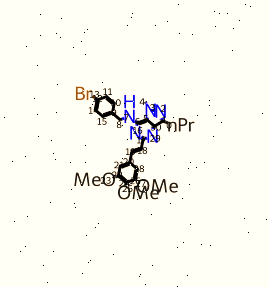 CCCc1nn(C)c2c(NCc3ccc(Br)cc3)nc(C=Cc3cc(OC)c(OC)c(OC)c3)nc12